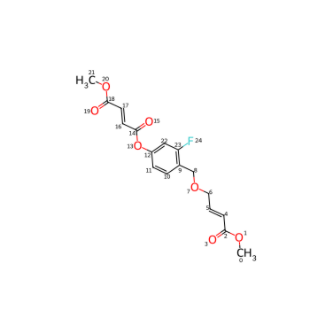 COC(=O)/C=C/COCc1ccc(OC(=O)/C=C/C(=O)OC)cc1F